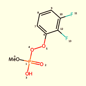 COP(=O)(O)OOc1cccc(F)c1F